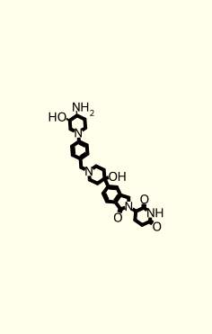 N[C@@H]1CCN(c2ccc(CN3CCC(O)(c4ccc5c(c4)CN(C4CCC(=O)NC4=O)C5=O)CC3)cc2)C[C@H]1O